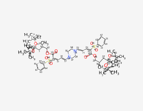 CC[Si](C)(C)O[Si](C)(CC(C)COC(=O)/C(=C\C=C\N1CCN(/C=C/C=C(\C(=O)OCC(C)C[Si](C)(O[Si](C)(C)C)O[Si](C)(C)C)S(=O)(=O)c2ccccc2)CC1)S(=O)(=O)c1ccccc1)O[Si](C)(C)C